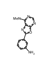 CNc1ncnc2oc(-c3cccc(N)c3)nc12